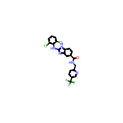 O=C(NCc1ccc(C(F)(F)F)cn1)c1ccc2[nH]c(Nc3c(Cl)cccc3Cl)nc2c1